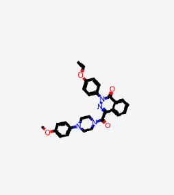 CCOc1ccc(-n2nc(C(=O)N3CCN(c4ccc(OC)cc4)CC3)c3ccccc3c2=O)cc1